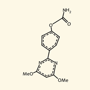 COc1cc(OC)nc(-c2ccc(OC(N)=O)cc2)n1